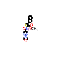 COC(=O)c1c(C2CCc3ccccc3C2)csc1N(I)C(=O)c1cnc(N2CCOCC2)nc1